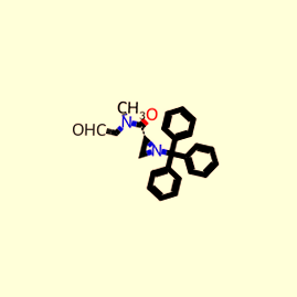 CN(CC=O)C(=O)[C@H]1CN1C(c1ccccc1)(c1ccccc1)c1ccccc1